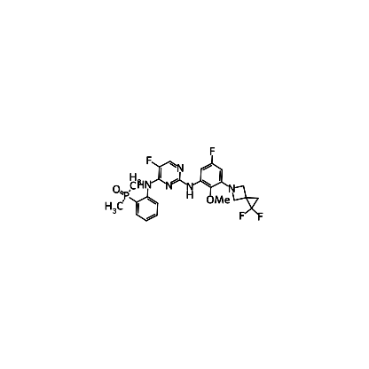 COc1c(Nc2ncc(F)c(Nc3ccccc3P(C)(C)=O)n2)cc(F)cc1N1CC2(C1)CC2(F)F